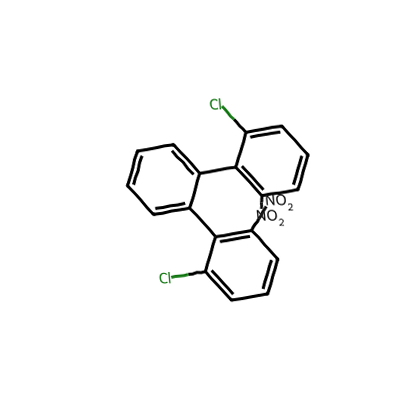 O=[N+]([O-])c1cccc(Cl)c1-c1ccccc1-c1c(Cl)cccc1[N+](=O)[O-]